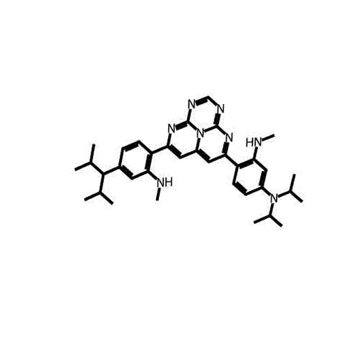 CNc1cc(C(C(C)C)C(C)C)ccc1C1=CC2=CC(c3ccc(N(C(C)C)C(C)C)cc3NC)=NC3=NC=NC(=N1)N23